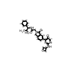 CC(O)C(NC(=O)CN1Cc2ccc(-c3nc(NC4COC4)ncc3Cl)cc2C1=O)c1ccccc1